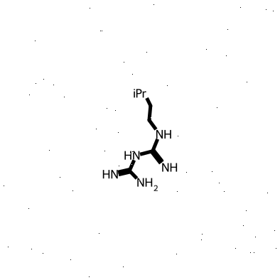 CC(C)CCNC(=N)NC(=N)N